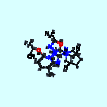 Cc1nnc(N2C[C@H]3CC[C@@H](C2)C3Nc2nc3c(C(C)C)ccc(O[C@@H](C)C(F)(F)F)n3n2)o1